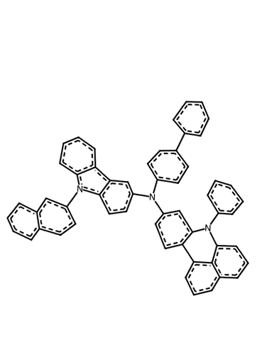 c1ccc(-c2ccc(N(c3ccc4c(c3)N(c3ccccc3)c3cccc5cccc-4c35)c3ccc4c(c3)c3ccccc3n4-c3ccc4ccccc4c3)cc2)cc1